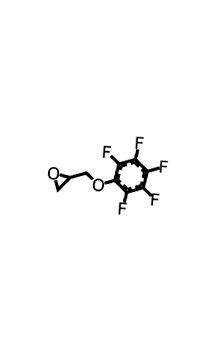 Fc1c(F)c(F)c(OCC2CO2)c(F)c1F